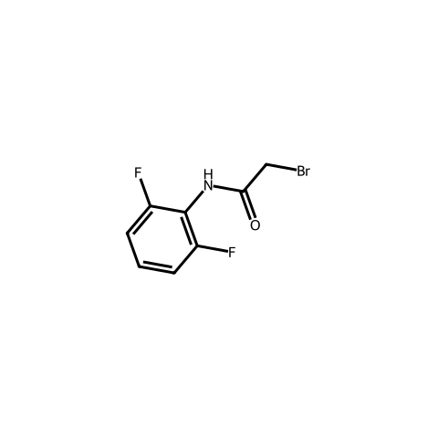 O=C(CBr)Nc1c(F)cccc1F